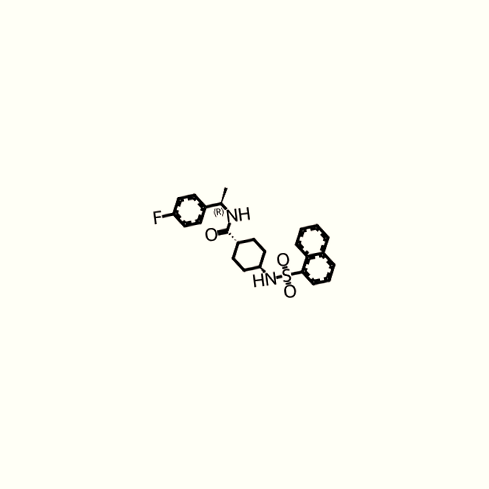 C[C@@H](NC(=O)[C@H]1CC[C@H](NS(=O)(=O)c2cccc3ccccc23)CC1)c1ccc(F)cc1